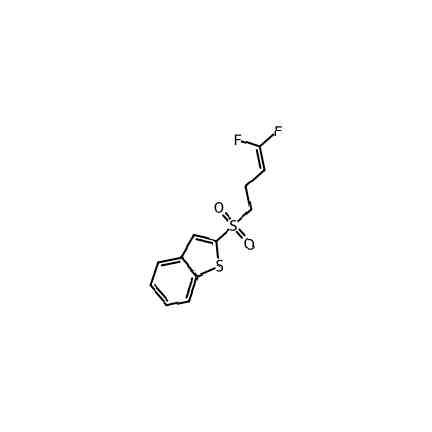 O=S(=O)(CCC=C(F)F)c1cc2ccccc2s1